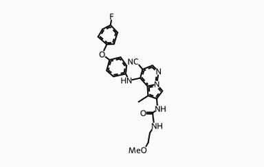 COCCNC(=O)Nc1cn2ncc(C#N)c(Nc3ccc(Oc4ccc(F)cc4)cc3)c2c1C